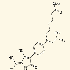 [C-]#[N+]/C(C#N)=C1\NC(=O)C(c2ccc(N(CCCCCC(=O)OC)CC(CC)CCCC)cc2)=C1C#N